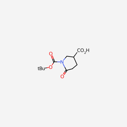 CC(C)(C)OC(=O)N1CC(C(=O)O)CCC1=O